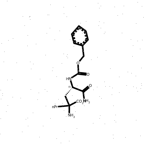 CCCC(N)(C[C@H](NC(=O)OCc1ccccc1)C(N)=O)C(=O)O